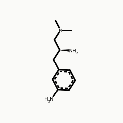 CN(C)C[C@@H](N)Cc1cccc(N)c1